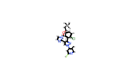 Cc1cnc(F)cc1-n1cc(-c2nccn2COCC[Si](C)(C)C)c(-c2ccccc2Cl)n1